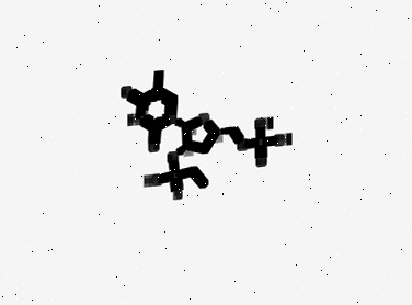 CCP(O)(=S)O[C@H]1C[C@@H](COP(=O)(O)O)O[C@H]1n1cc(C)c(=O)[nH]c1=O